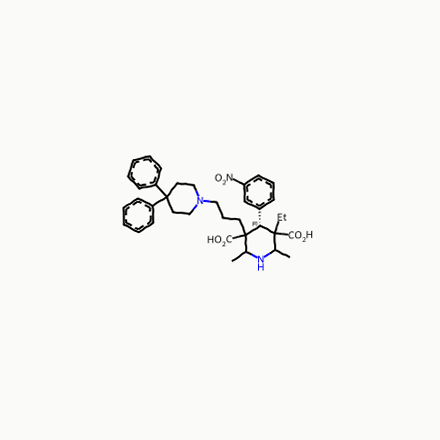 CCC1(C(=O)O)C(C)NC(C)C(CCCN2CCC(c3ccccc3)(c3ccccc3)CC2)(C(=O)O)[C@@H]1c1cccc([N+](=O)[O-])c1